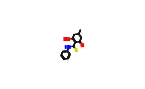 CC1CC(=O)C(C(=S)Nc2ccccc2)=C(O)C1